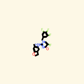 CC1=C(Nc2nc(=O)c(F)cn2Cc2cc(F)c(F)c(F)c2)CC2CCOC2=C1